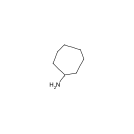 N[C]1CCCCCC1